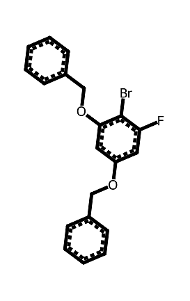 Fc1cc(OCc2ccccc2)cc(OCc2ccccc2)c1Br